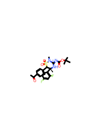 CC(=O)c1ccc(C2[C@@](C)(c3ccc(F)cc3F)N/C(=N\C(=O)OC(C)(C)C)N(C)S2(=O)=O)cc1